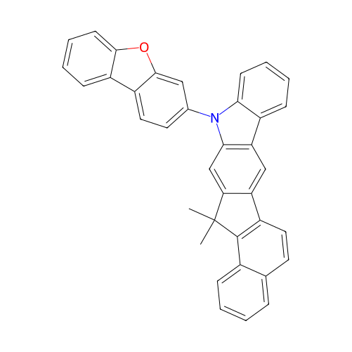 CC1(C)c2cc3c(cc2-c2ccc4ccccc4c21)c1ccccc1n3-c1ccc2c(c1)oc1ccccc12